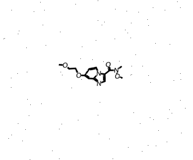 COCCOc1ccn2c(C(=O)N(C)OC)cnc2c1